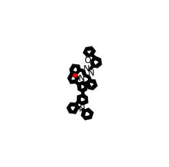 c1ccc(-c2nc(-c3cccc4c3oc3ccccc34)nc(-c3ccccc3)c2-n2c3ccccc3c3cc(-c4ccc5c(c4)c4ccccc4n5-c4ccccc4)ccc32)cc1